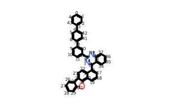 c1ccc(-c2ccc(-c3cccc(-c4nc(-c5cccc6c5ccc5c7ccccc7oc65)c5ccccc5n4)c3)cc2)cc1